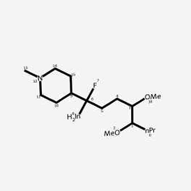 CCCC(OC)C(CC[C](F)([InH2])C1CCN(C)CC1)OC